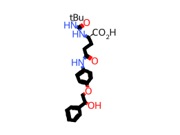 CC(C)(C)NC(=O)N[C@@H](CCC(=O)Nc1ccc(OCC(O)c2ccccc2)cc1)C(=O)O